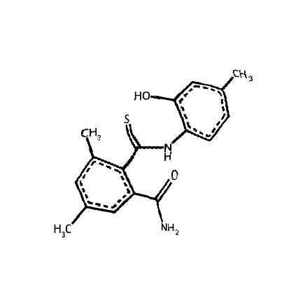 Cc1ccc(NC(=S)c2c(C)cc(C)cc2C(N)=O)c(O)c1